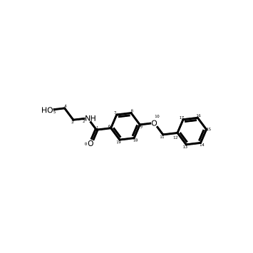 O=C(NCCO)c1ccc(OCc2ccccc2)cc1